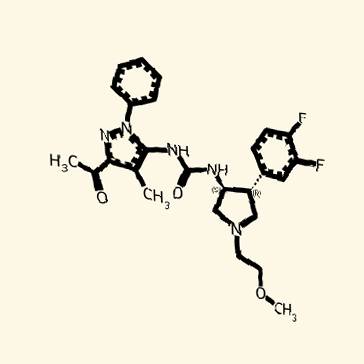 COCCN1C[C@@H](NC(=O)Nc2c(C)c(C(C)=O)nn2-c2ccccc2)[C@H](c2ccc(F)c(F)c2)C1